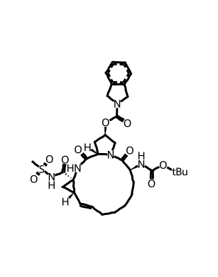 CC(C)(C)OC(=O)N[C@H]1CCCCC/C=C/[C@@H]2C[C@@]2(C(=O)NS(C)(=O)=O)NC(=O)[C@@H]2C[C@@H](OC(=O)N3Cc4ccccc4C3)CN2C1=O